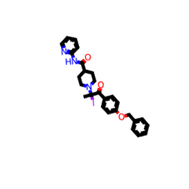 CC(I)(C(=O)c1ccc(OCc2ccccc2)cc1)N1CCC(C(=O)Nc2ccccn2)CC1